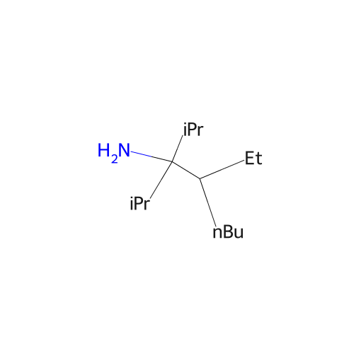 CCCCC(CC)C(N)(C(C)C)C(C)C